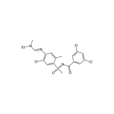 CCN(C)/C=N/c1cc(C)c(S(C)(=O)=NC(=O)c2cc(Cl)cc(Cl)c2)cc1Cl